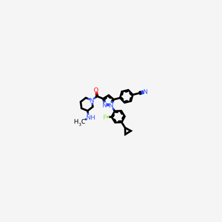 CNC1CCCN(C(=O)c2cc(-c3ccc(C#N)cc3)n(-c3ccc(C4CC4)cc3F)n2)C1